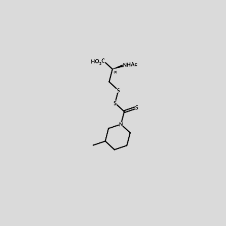 CC(=O)N[C@@H](CSSC(=S)N1CCCC(C)C1)C(=O)O